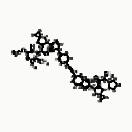 COC(=O)N[C@H](C(=O)N1CC2(CC2)C[C@H]1c1ncc(-c2ccc(C#Cc3ccc4nc([C@@H]5CC6(CC6)CN5C(=O)[C@@H](C)C5CCCC5)[nH]c4c3)cc2)[nH]1)C(C)C